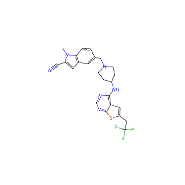 Cn1c(C#N)cc2cc(CN3CCC(Nc4ncnc5sc(CC(F)(F)F)cc45)CC3)ccc21